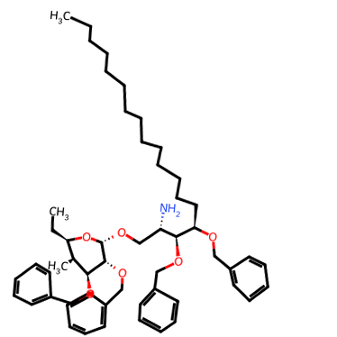 CCCCCCCCCCCCCC[C@@H](OCc1ccccc1)[C@@H](OCc1ccccc1)[C@@H](N)CO[C@H]1O[C@H](CC)[C@H](C)[C@H](OCc2ccccc2)[C@H]1OCc1ccccc1